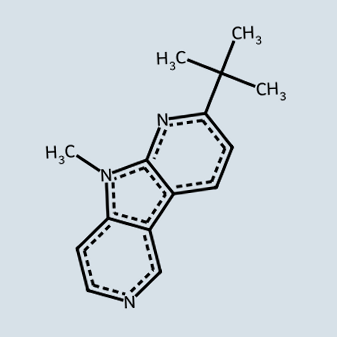 Cn1c2ccncc2c2ccc(C(C)(C)C)nc21